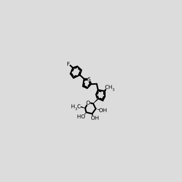 Cc1ccc([C@@H]2O[C@H](C)[C@@H](O)[C@H](O)[C@H]2O)cc1Cc1ccc(-c2ccc(F)cc2)s1